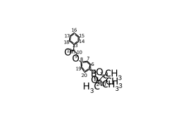 CC1(C)OB(c2ccc(OCC(=O)c3ccccc3)cc2)OC1(C)C